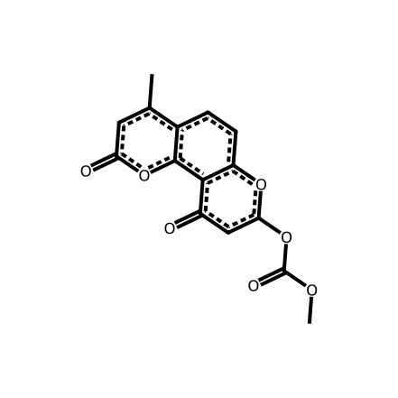 COC(=O)Oc1cc(=O)c2c(ccc3c(C)cc(=O)oc32)o1